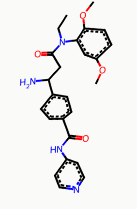 CCN(C(=O)CC(N)c1ccc(C(=O)Nc2ccncc2)cc1)c1cc(OC)ccc1OC